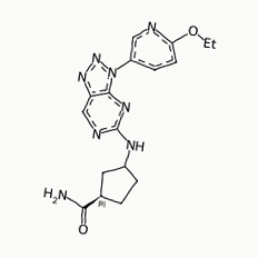 CCOc1ccc(-n2nnc3cnc(NC4CC[C@@H](C(N)=O)C4)nc32)cn1